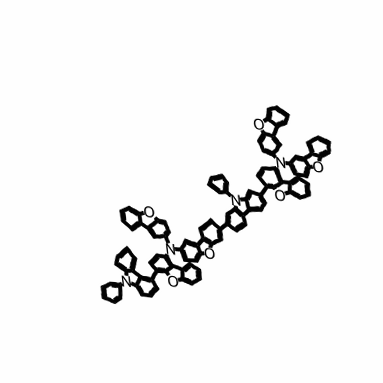 c1ccc(-n2c3cc(-c4ccc5c(c4)oc4ccc(N(c6ccc7oc8ccccc8c7c6)c6ccc(-c7cccc8c7c7ccccc7n8-c7ccccc7)c7oc8ccccc8c67)cc45)ccc3c3ccc(-c4ccc(N(c5ccc6oc7ccccc7c6c5)c5ccc6oc7ccccc7c6c5)c5c4oc4ccccc45)cc32)cc1